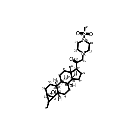 CC1C2[C@H]3CC[C@@H]4[C@H](CC[C@]5(C)[C@@H](C(=O)CN6CCN(S(C)(=O)=O)CC6)CC[C@@H]45)[C@H]3CC[C@]12O